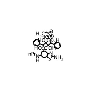 CCCNC1CCc2nc(N)sc2C1.CCS(=O)(=O)O.O=C(O)C(O)(C(=O)c1ccccc1)C(O)(C(=O)O)C(=O)c1ccccc1